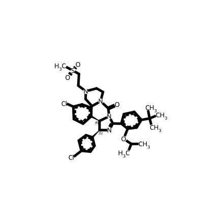 CC(C)Oc1cc(C(C)(C)C)ccc1C1=N[C@@H](c2ccc(Cl)cc2)[C@@H](c2ccc(Cl)cc2)N1C(=O)N1CCN(CCS(C)(=O)=O)CC1